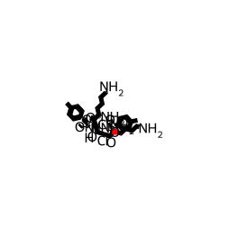 Cc1ccc(S(=O)(=O)NC(Cl)(C(=O)[C@@H](N)CCCCN)C(=O)C(Cl)(NS(=O)(=O)c2ccc(C)cc2)C(=O)[C@@H](N)CCCCN)cc1